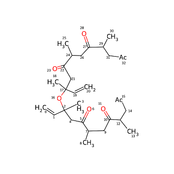 C=CC(C)(CC(=O)C(C)CC(=O)C(C)CC(C)=O)OC(C)(C=C)CC(=O)C(C)CC(=O)C(C)CC(C)=O